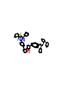 c1ccc(-c2ccccc2CC(Cc2ccc(-c3ccc4c(c3)oc3cccc(-c5ccc(-c6nc(-c7ccccc7)c7sc8ccccc8c7n6)cc5)c34)cc2)c2ccccc2)cc1